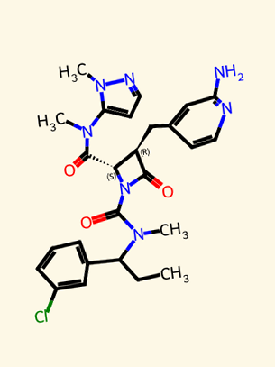 CCC(c1cccc(Cl)c1)N(C)C(=O)N1C(=O)[C@H](Cc2ccnc(N)c2)[C@H]1C(=O)N(C)c1ccnn1C